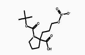 CC(C)(C)OC(=O)N1CCCC1(CCCO[N+](=O)[O-])C(=O)O